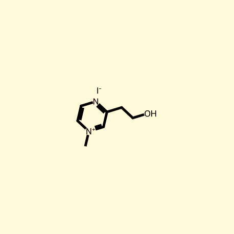 C[n+]1ccnc(CCO)c1.[I-]